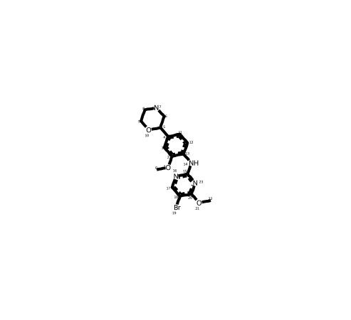 COc1cc(C2C[N]CCO2)ccc1Nc1ncc(Br)c(OC)n1